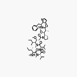 CC[C@H](C)[C@@H]([C@@H](CC(=O)N1CCC[C@H]1[C@H](OC)[C@@H](C)C(=O)N[C@@H](Cc1ccccc1)c1nccs1)OC)N(C)C(=O)[C@@H](NC(=O)[C@H](C(C)C)N(C)C(=O)[C@@H](NC)[C@@H](C)CC)C(C)C